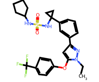 CCn1nc(-c2cccc(C3(NS(=O)(=O)NC4CCCC4)CC3)c2)cc1Oc1ccc(C(F)(F)F)cc1